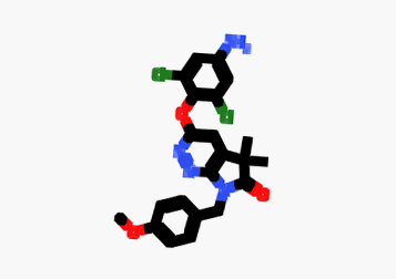 COc1ccc(CN2C(=O)C(C)(C)c3cc(Oc4c(Cl)cc(N)cc4Cl)nnc32)cc1